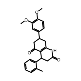 COc1ccc(C2CC(=O)C3=C(C2)NC(=O)CC3c2ccccc2C)cc1OC